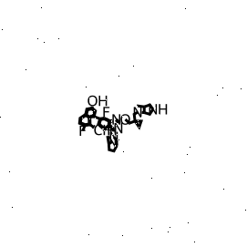 C#Cc1c(F)ccc2cc(O)cc(-c3ccc4c(N5CC6CCC(C5)N6)nc(OCC5(CN6CC7CNCC76)CC5)nc4c3F)c12